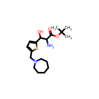 CC(C)(C)OC(=O)C(N)C(O)c1ccc(CN2CCCCCC2)s1